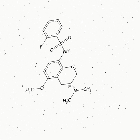 COc1ccc(NS(=O)(=O)c2ccccc2F)c2c1C[C@@H](N(C)C)CO2